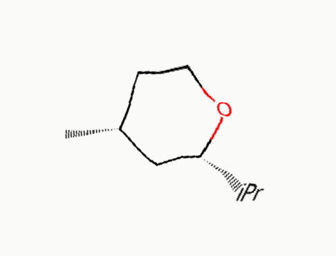 CC(C)[C@@H]1C[C@H](C)CCO1